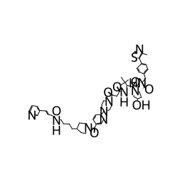 Cc1ncsc1-c1ccc(CNC(=O)[C@@H]2C[C@@H](O)CN2C(=O)[C@@H](NC(=O)CC(=O)N2CCN(c3ccc(C(=O)N4CCC(CCCCNC(=O)/C=C/c5cccnc5)CC4)cn3)CC2)C(C)(C)C)cc1